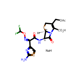 CC(=O)OCC1=C(C(=O)O)N2C(=O)[C@@H](NC(=O)/C(=N\OC(F)F)c3csc(N)n3)[C@H]2SC1.[NaH]